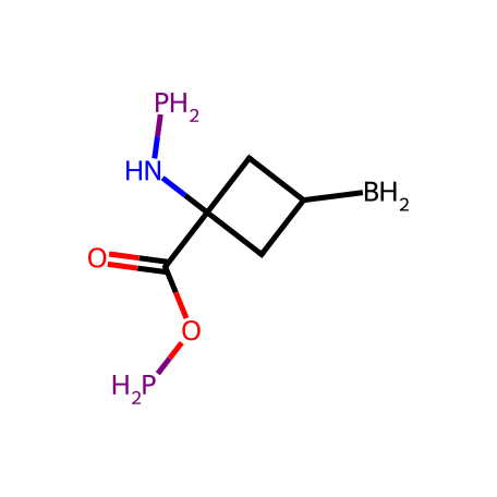 BC1CC(NP)(C(=O)OP)C1